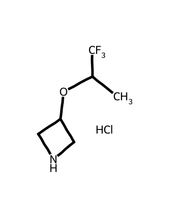 CC(OC1CNC1)C(F)(F)F.Cl